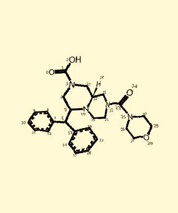 O=C(O)N1CC(C(c2ccccc2)c2ccccc2)N2CCN(C(=O)N3CCOCC3)C[C@H]2C1